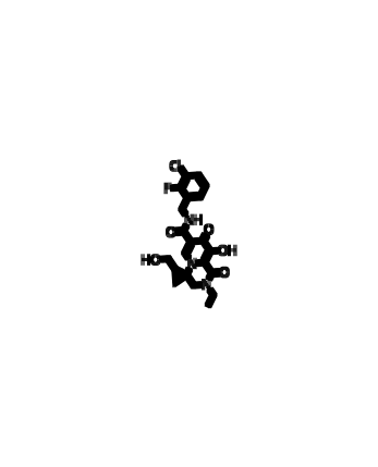 CCN1CC2(CC2CO)n2cc(C(=O)NCc3cccc(Cl)c3F)c(=O)c(O)c2C1=O